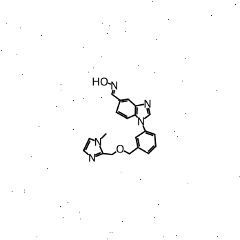 Cn1ccnc1COCc1cccc(-n2cnc3cc(C=NO)ccc32)c1